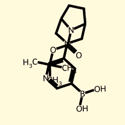 CC(C)(C)OC(=O)N1C2CCC1CN(c1cncc(B(O)O)c1)C2